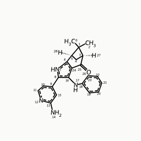 CC1(C)[C@@H]2C[C@H]1c1[nH]c(-c3ccnc(N)c3)c(Nc3ccccc3)c1C2=O